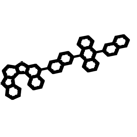 c1ccc2cc(-c3c4ccccc4c(-c4ccc5cc(-c6cc7sc8ccc9sc%10ccccc%10c9c8c7c7ccccc67)ccc5c4)c4ccccc34)ccc2c1